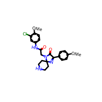 COc1ccc(C2=NC3(CCNCC3)N(CC(=O)Nc3ccc(OC)c(Cl)c3)C2=O)cc1